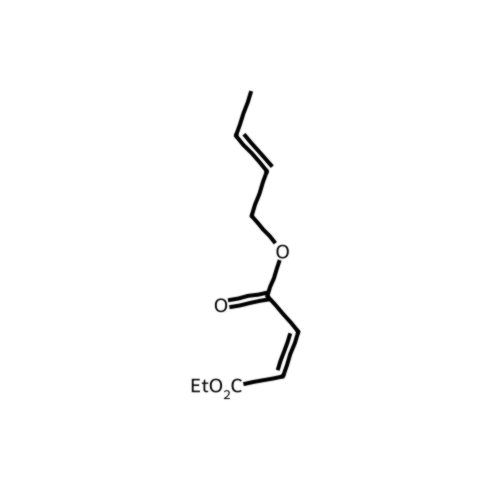 CC=CCOC(=O)/C=C\C(=O)OCC